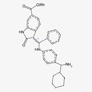 COC(=O)c1ccc2c(c1)NC(=O)/C2=C(\Nc1ccc(C(N)C2CCCCC2)cc1)c1ccccc1